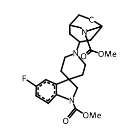 COC(=O)N1CC2(CCN(C3CC4CCC(C3)N(C(=O)OC)C4)CC2)c2cc(F)ccc21